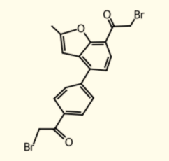 Cc1cc2c(-c3ccc(C(=O)CBr)cc3)ccc(C(=O)CBr)c2o1